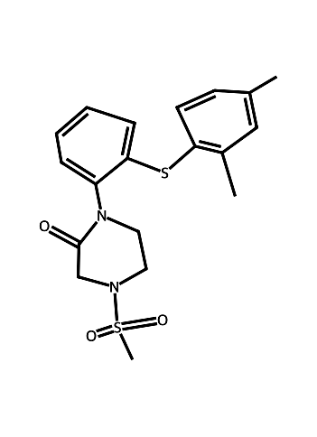 Cc1ccc(Sc2ccccc2N2CCN(S(C)(=O)=O)CC2=O)c(C)c1